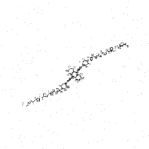 CCCCOCCOCCOCCOCc1ccc(C#Cc2c3ccccc3c(C#Cc3ccc(COCCOCCOCCOCCCC)cc3)c3ccccc23)cc1